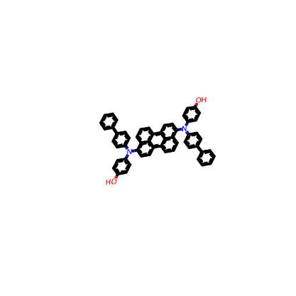 Oc1ccc(N(c2ccc(-c3ccccc3)cc2)c2ccc3c4cccc5c(N(c6ccc(O)cc6)c6ccc(-c7ccccc7)cc6)ccc(c6cccc2c63)c54)cc1